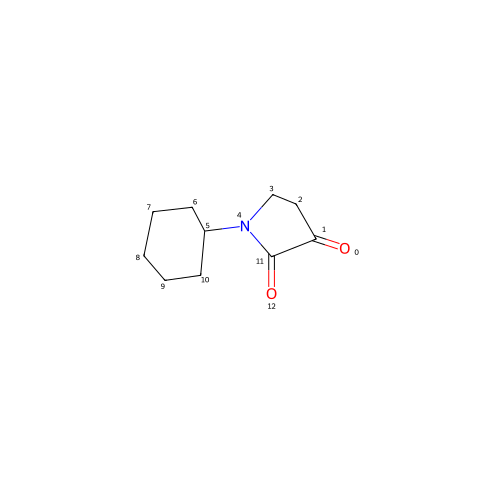 O=C1CCN(C2CCCCC2)C1=O